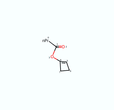 CCCC(=O)OC1=CCC1